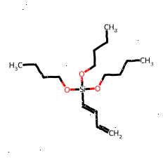 C=CC=C[Si](OCCCC)(OCCCC)OCCCC